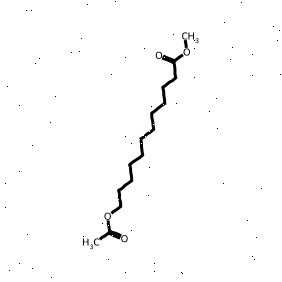 COC(=O)CCCCCCCCCCCOC(C)=O